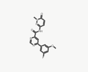 COc1cc(F)cc(-c2cc(C(=O)Nc3ccc(=O)n(C)n3)ncn2)c1